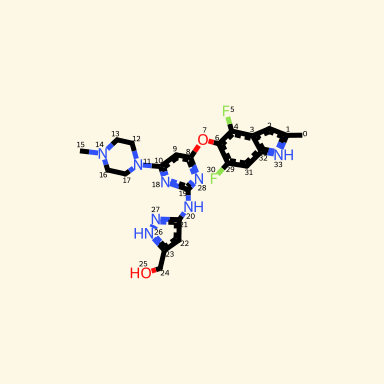 Cc1cc2c(F)c(Oc3cc(N4CCN(C)CC4)nc(Nc4cc(CO)[nH]n4)n3)c(F)cc2[nH]1